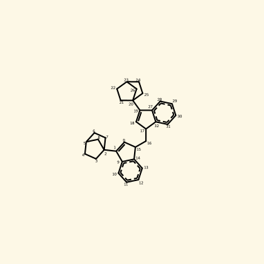 C1=C(C23CCC(CC2)C3)c2ccccc2C1CC1C=C(C23CCC(CC2)C3)c2ccccc21